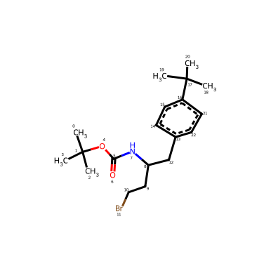 CC(C)(C)OC(=O)NC(CCBr)Cc1ccc(C(C)(C)C)cc1